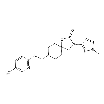 Cn1ccc(N2CC3(CCC(CNc4ccc(C(F)(F)F)cn4)CC3)OC2=O)n1